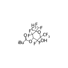 CCC(C)C(=O)OC1C(F)(F)C(C)(C(F)F)OC(O)(C(F)(F)F)C1(F)F